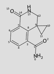 NC(=O)c1cccc2c1C1(CC1)CNC2=O